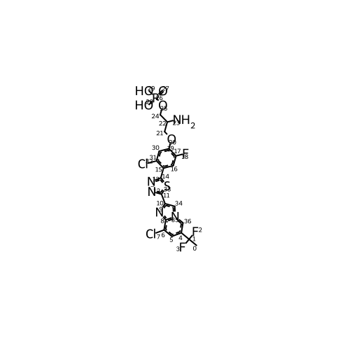 CC(F)(F)c1cc(Cl)c2nc(-c3nnc(-c4cc(F)c(OCC(N)COP(=O)(O)O)cc4Cl)s3)cn2c1